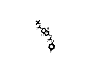 CC(C)(C)OC(=O)N1C[C@H]2CC(OC(=S)Oc3ccc(F)cc3)C[C@@H]2C1